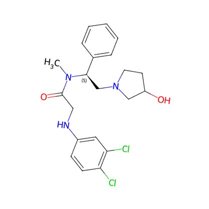 CN(C(=O)CNc1ccc(Cl)c(Cl)c1)[C@H](CN1CCC(O)C1)c1ccccc1